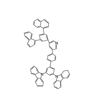 C1=Cc2c(n(-c3cc(-c4ccc(-c5cncc(-c6cc(-c7cccc8ccccc78)cc(-c7cccc8ccccc78)c6)c5)cc4)cc(-n4c5ccccc5c5ccccc54)c3)c3ccccc23)CC1